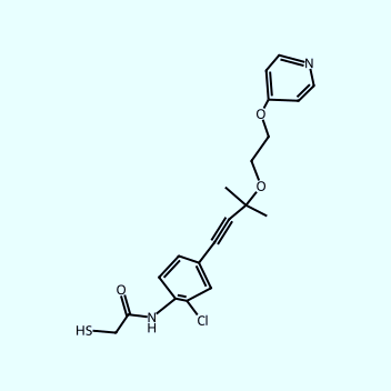 CC(C)(C#Cc1ccc(NC(=O)CS)c(Cl)c1)OCCOc1ccncc1